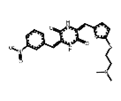 CN(C)CCSc1ccc(C=c2[nH]c(=O)c(=Cc3cccc([N+](=O)[O-])c3)[nH]c2=O)s1